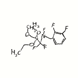 CCO[Si](OC)(OC)C(F)(F)N(F)c1cccc(F)c1F